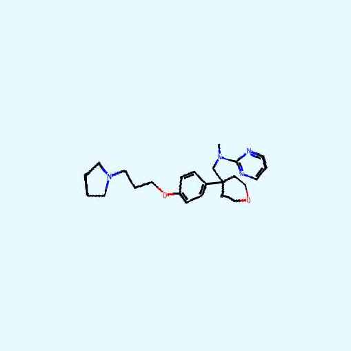 CN(CC1(c2ccc(OCCCN3CCCC3)cc2)CCOCC1)c1ncccn1